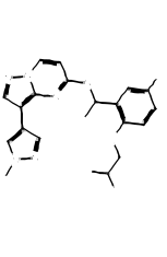 CC(Nc1ccn2ncc(-c3cnn(C)c3)c2n1)c1cc(F)ccc1OCC(F)F